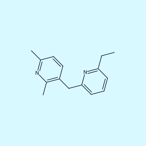 CCc1cccc(Cc2ccc(C)nc2C)n1